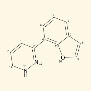 C1=CC(c2cccc3ccoc23)=NNC1